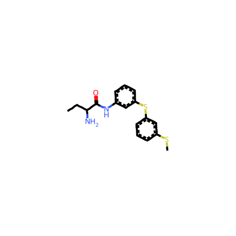 CCC(N)C(=O)Nc1cccc(Sc2cccc(SC)c2)c1